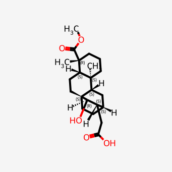 COC(=O)[C@]1(C)CCC[C@@]2(C)[C@@H]3C[C@@H]4CC[C@@]3(CC[C@@H]21)[C@H](O)[C@H]4CC(=O)O